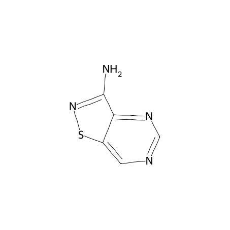 Nc1nsc2cncnc12